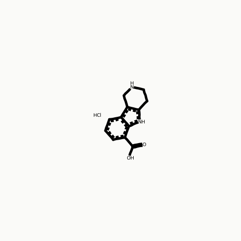 Cl.O=C(O)c1cccc2c3c([nH]c12)CCNC3